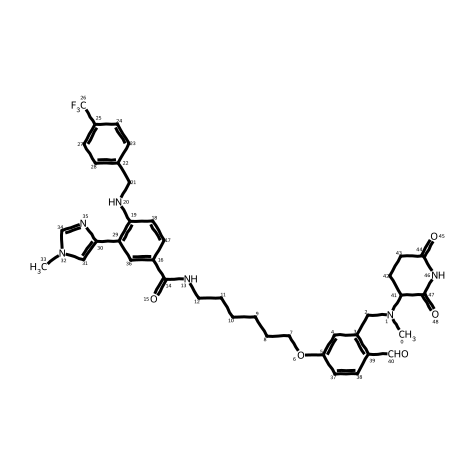 CN(Cc1cc(OCCCCCCNC(=O)c2ccc(NCc3ccc(C(F)(F)F)cc3)c(-c3cn(C)cn3)c2)ccc1C=O)C1CCC(=O)NC1=O